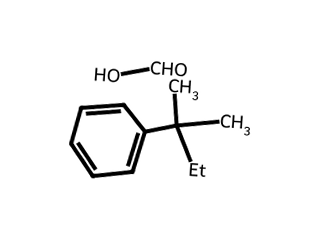 CCC(C)(C)c1ccccc1.O=CO